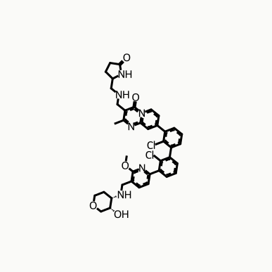 COc1nc(-c2cccc(-c3cccc(-c4ccn5c(=O)c(CNCC6CCC(=O)N6)c(C)nc5c4)c3Cl)c2Cl)ccc1CN[C@H]1CCOC[C@H]1O